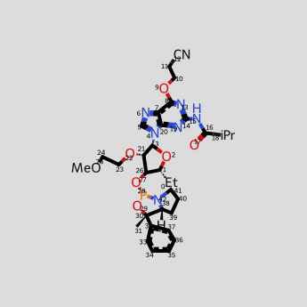 CC[C@H]1O[C@@H](n2cnc3c(OCCC#N)nc(NC(=O)C(C)C)nc32)[C@@H](OCCOC)C1O[P@]1O[C@@](C)(c2ccccc2)[C@H]2CCCN21